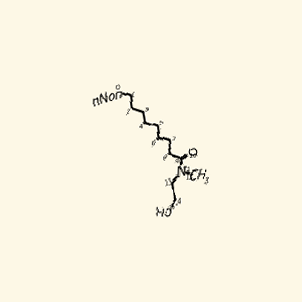 CCCCCCCCCCCCCCCCCC(=O)N(C)CCO